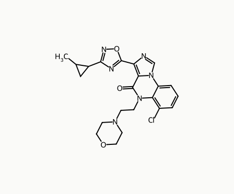 CC1CC1c1noc(-c2ncn3c2c(=O)n(CCN2CCOCC2)c2c(Cl)cccc23)n1